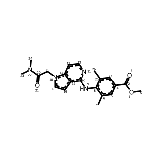 COC(=O)c1cc(C)c(Nc2nccc3c2ccn3CC(=O)N(C)C)c(C)c1